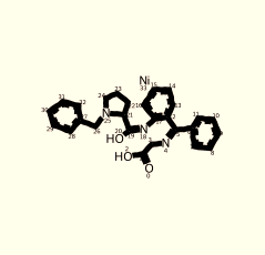 O=C(O)CN=C(c1ccccc1)c1ccccc1N=C(O)C1CCCN1Cc1ccccc1.[Ni]